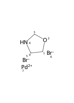 C1COCN1.[Br-].[Br-].[Pd+2]